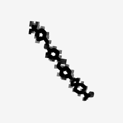 CC(=O)N1CCC2(CC1)CN(c1ccc(CNc3ccc(OCc4ccc(C(F)(F)F)nc4)nn3)cn1)C2